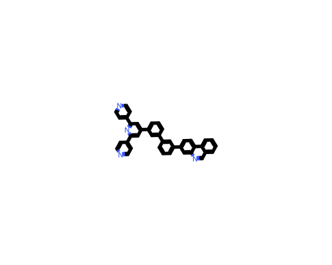 c1cc(-c2cccc(-c3ccc4c(c3)ncc3ccccc34)c2)cc(-c2cc(-c3ccncc3)nc(-c3ccncc3)c2)c1